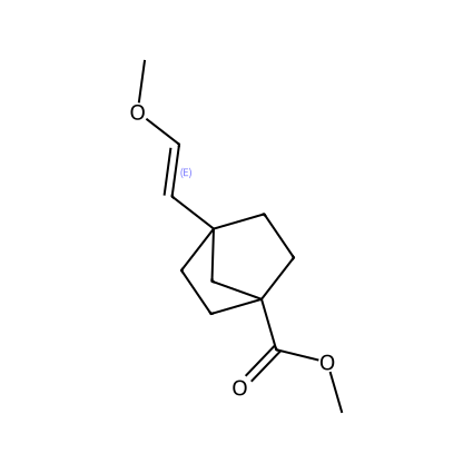 CO/C=C/C12CCC(C(=O)OC)(CC1)C2